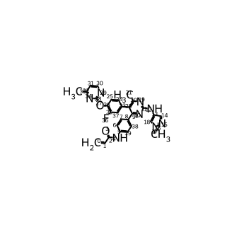 C=CC(=O)Nc1ccc(-c2nc(Nc3cnn(C)c3)nc(C)c2-c2ccc(Oc3nccc(C)n3)c(F)c2)cc1